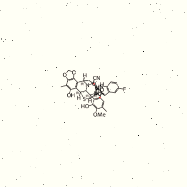 COc1c(C)cc2c(c1O)[C@@H]1C3[C@@H]4SC[C@]5(NCCc6c5[nH]c5ccc(F)cc65)C(=O)OC[C@@H](c5c6c(c(C)c(O)c54)OCO6)N3[C@@H](C#N)[C@@H](C2)N1C